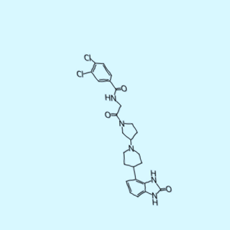 O=C(NCC(=O)N1CCC(N2CCC(c3cccc4[nH]c(=O)[nH]c34)CC2)C1)c1ccc(Cl)c(Cl)c1